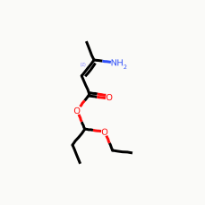 CCOC(CC)OC(=O)/C=C(/C)N